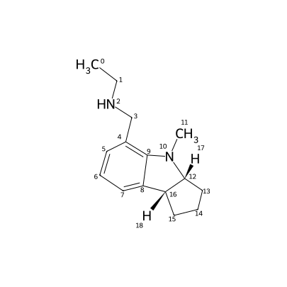 CCNCc1cccc2c1N(C)[C@@H]1CCC[C@H]21